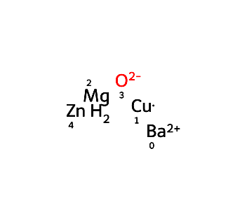 [Ba+2].[Cu].[MgH2].[O-2].[Zn]